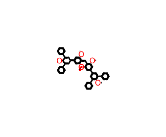 COc1cc(-c2cc(-c3ccccc3)c(OC)c(-c3ccccc3)c2)cc(OC)c1C=c1c(OC)cc(=C2C=C(c3ccccc3)C(=O)C(c3ccccc3)=C2)cc1OC